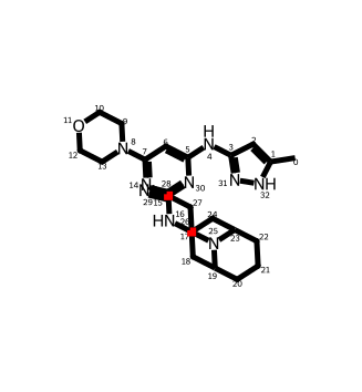 Cc1cc(Nc2cc(N3CCOCC3)nc(NC3CC4CCCC(C3)N4CCC#N)n2)n[nH]1